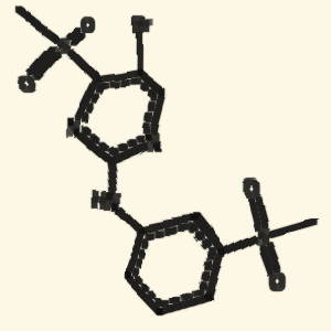 CS(=O)(=O)c1cccc(Nc2ncc(Br)c(S(C)(=O)=O)n2)c1